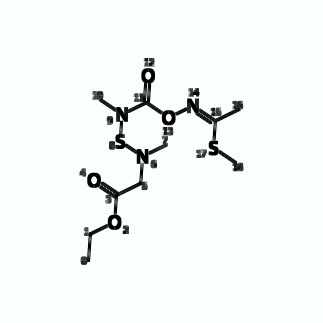 CCOC(=O)CN(C)SN(C)C(=O)ON=C(C)SC